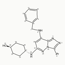 CC(C)c1nnc2c(NCc3ccccc3)cc(N[C@H]3CC[C@H](O)CC3)nn12